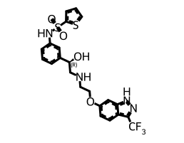 O=S(=O)(Nc1cccc([C@@H](O)CNCCOc2ccc3c(C(F)(F)F)n[nH]c3c2)c1)c1cccs1